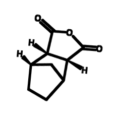 O=C1OC(=O)[C@@H]2C3CC[C@@H](C3)[C@H]12